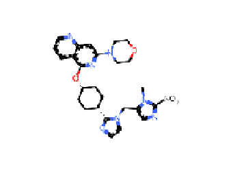 Cn1c(Cn2ccnc2[C@H]2CC[C@@H](Oc3nc(N4CCOCC4)cc4ncccc34)CC2)cnc1[N+](=O)[O-]